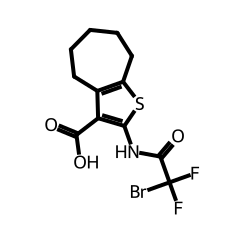 O=C(O)c1c(NC(=O)C(F)(F)Br)sc2c1CCCCC2